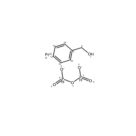 O=[PH]([O-])O[PH](=O)[O-].OCc1ccccc1.[Pt+2]